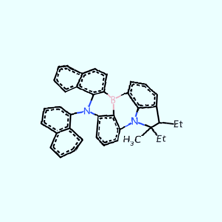 CCC1c2cccc3c2N(c2cccc4c2B3c2ccc3ccccc3c2N4c2cccc3ccccc23)C1(C)CC